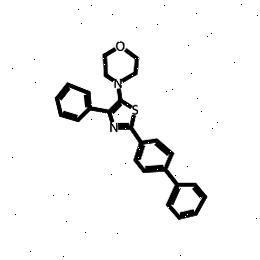 c1ccc(-c2ccc(-c3nc(-c4ccccc4)c(N4CCOCC4)s3)cc2)cc1